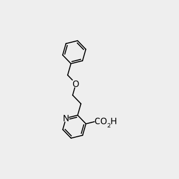 O=C(O)c1cccnc1CCOCc1ccccc1